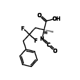 C[C@@](CC(F)(F)Cc1ccccc1)(N=C=O)C(=O)O